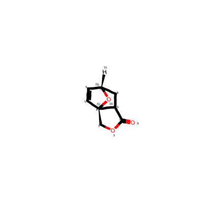 O=C1OC[C@]23C=C[C@H](CC12)O3